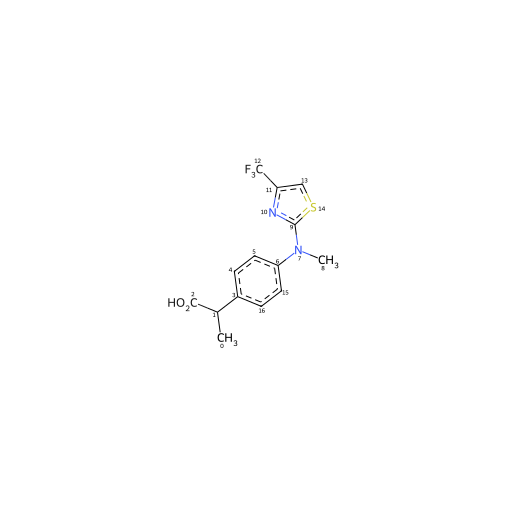 CC(C(=O)O)c1ccc(N(C)c2nc(C(F)(F)F)cs2)cc1